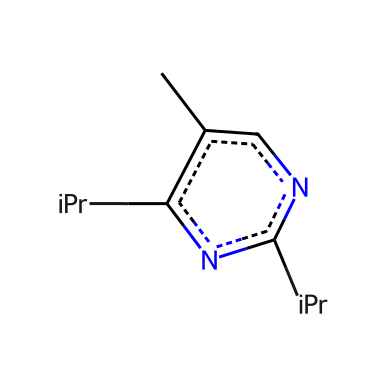 Cc1cnc(C(C)C)nc1C(C)C